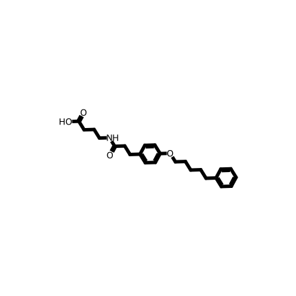 O=C(O)CCCNC(=O)CCc1ccc(OCCCCCc2ccccc2)cc1